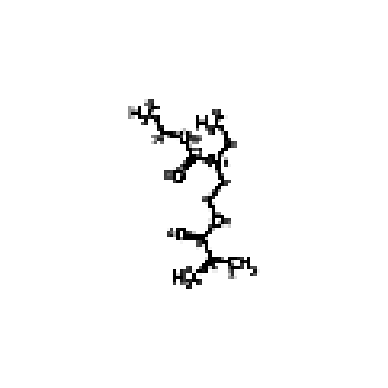 C=C(C)C(=O)OCCN(CC)C(=O)OCC